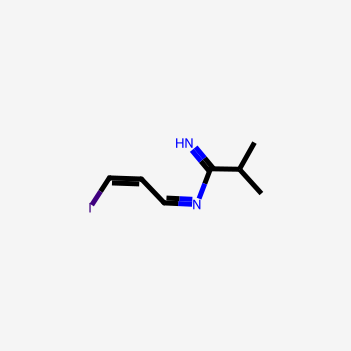 CC(C)C(=N)/N=C\C=C/I